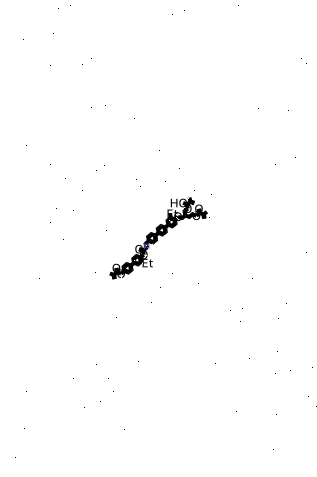 C=C(C)C(=O)OCCC(COc1ccc(-c2ccc(-c3ccc(/C=C/C(=O)Oc4ccc(-c5ccc(OC(=O)C(=C)C)cc5)cc4CC)cc3)cc2)cc1CC)COC(O)C(=C)C